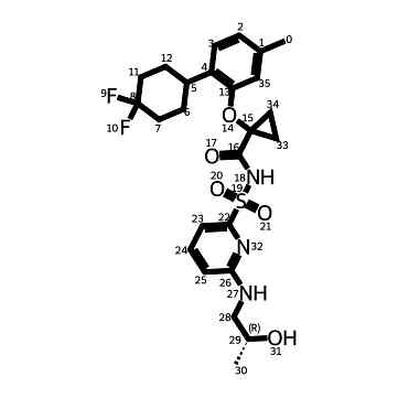 Cc1ccc(C2CCC(F)(F)CC2)c(OC2(C(=O)NS(=O)(=O)c3cccc(NC[C@@H](C)O)n3)CC2)c1